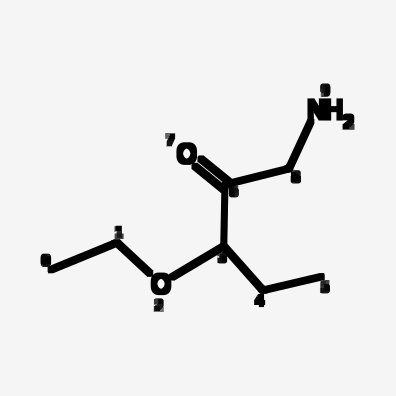 CCOC(CC)C(=O)CN